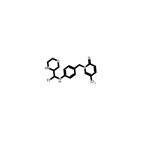 CCC(Nc1ccc(Cn2cc(C(F)(F)F)ccc2=O)cc1)C1COCCN1